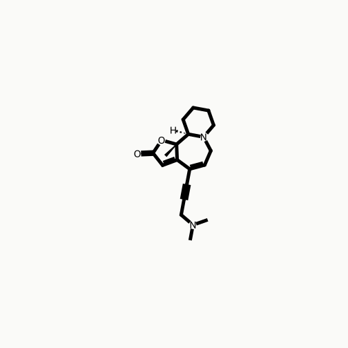 CN(C)CC#CC1=CCN2CCCC[C@@H]2[C@@]2(C)OC(=O)C=C12